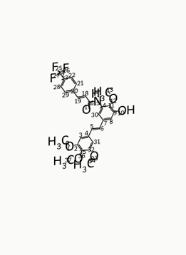 COc1cc(/C=C/c2cc(O)c(OC)c(NC(=O)/C=C/c3ccc(C(F)(F)F)cc3)c2)cc(OC)c1OC